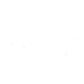 CN1CCN(c2ccc(-c3cnc4[nH]c5cnc(C(C)(C)O)cc5c4c3)cc2)CC1